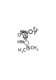 C[C@@H]1C[C@@H](C)N1[C@H]1CC[C@H](n2cc(C(N)=O)c(Nc3ccc(C(F)(F)F)cc3)n2)C(=N)C1